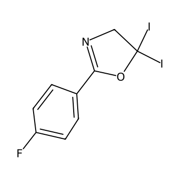 Fc1ccc(C2=NCC(I)(I)O2)cc1